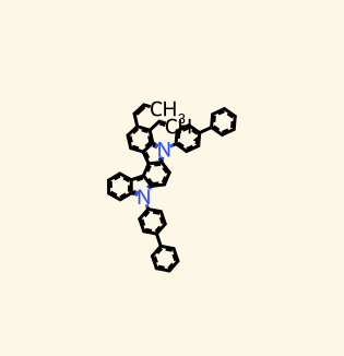 C=Cc1c(/C=C\C)ccc2c3c4c5ccccc5n(-c5ccc(-c6ccccc6)cc5)c4ccc3n(-c3ccc(-c4ccccc4)cc3)c12